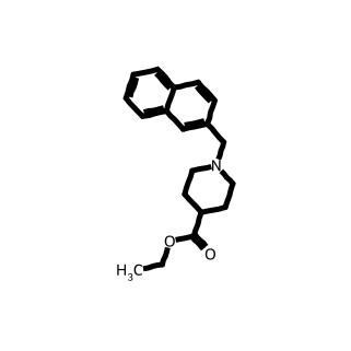 CCOC(=O)C1CCN(Cc2ccc3ccccc3c2)CC1